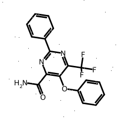 NC(=O)c1nc(-c2ccccc2)nc(C(F)(F)F)c1Oc1ccccc1